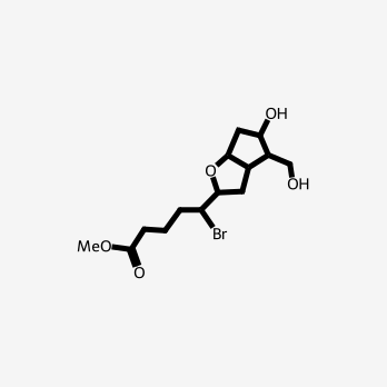 COC(=O)CCCC(Br)C1CC2C(CC(O)C2CO)O1